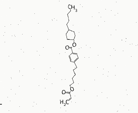 C=CC(=O)OCCCCCCc1ccc(C(=O)OC2CCC(CCCCC)CC2)cc1